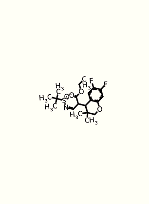 CCOC(=O)C(/C=N\[S+]([O-])C(C)(C)C)C1c2cc(F)c(F)cc2OCC1(C)C